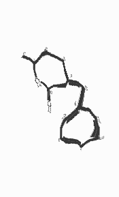 CC1CCC(=Cc2ccccc2)C(=O)O1